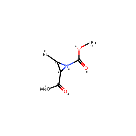 CCC1C(C(=O)OC)N1C(=O)OC(C)(C)C